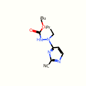 CCC(C)OC(=O)NN(CC(C)C)c1ccnc(C#N)n1